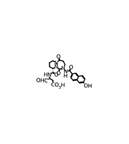 O=C[C@H](CC(=O)O)NC(=O)[C@@H]1CCCN2C(=O)CCN(NC(=O)c3ccc4cc(O)ccc4c3)C(=O)N12